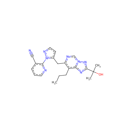 CCCc1c(Cc2ccnn2-c2ncccc2C#N)ncn2nc(C(C)(C)O)nc12